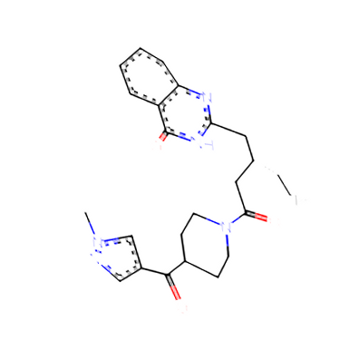 CC(C)C[C@H](CC(=O)N1CCC(C(=O)c2cnn(C)c2)CC1)Cc1nc2ccccc2c(=O)[nH]1